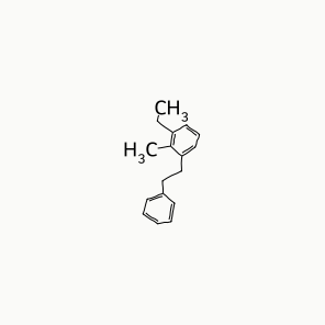 CCc1cccc(CCc2ccccc2)c1C